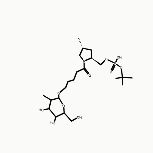 CC1C(OCCCCC(=O)N2C[C@H](C)C[C@H]2COP(=O)(O)OC(C)(C)C)OC(CO)C(O)C1O